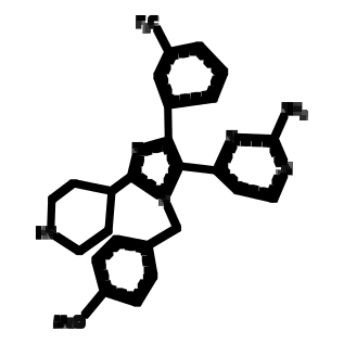 COc1ccc(Cn2c(C3CCNCC3)nc(-c3cccc(C(F)(F)F)c3)c2-c2ccnc(N)n2)cc1